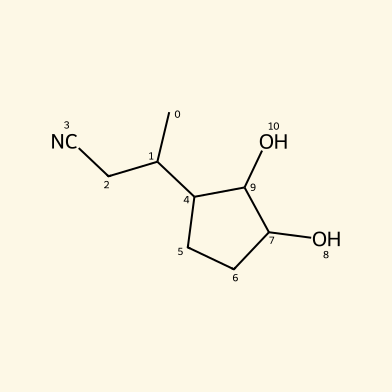 CC(CC#N)C1CCC(O)C1O